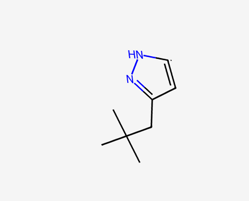 CC(C)(C)Cc1c[c][nH]n1